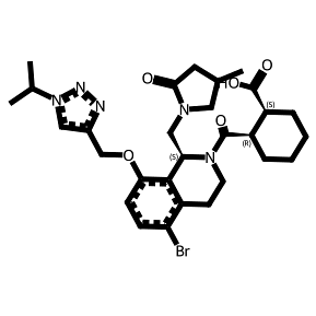 CC1CC(=O)N(C[C@@H]2c3c(OCc4cn(C(C)C)nn4)ccc(Br)c3CCN2C(=O)[C@@H]2CCCC[C@@H]2C(=O)O)C1